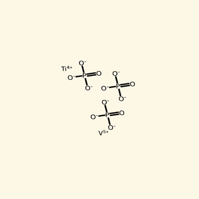 O=P([O-])([O-])[O-].O=P([O-])([O-])[O-].O=P([O-])([O-])[O-].[Ti+4].[V+5]